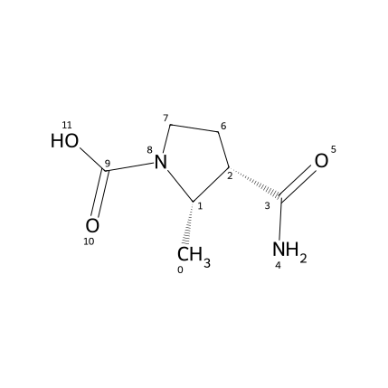 C[C@H]1[C@@H](C(N)=O)CCN1C(=O)O